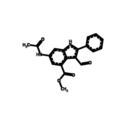 COC(=O)c1cc(NC(C)=O)cc2[nH]c(-c3ccccc3)c(C=O)c12